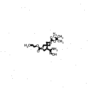 C=CCOC(=O)N1CC(/C(N)=N/O)C2(C1)CN(C(=O)OC(C)(C)C)C2